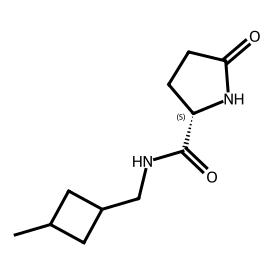 CC1CC(CNC(=O)[C@@H]2CCC(=O)N2)C1